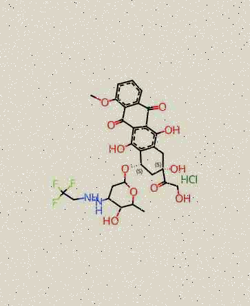 COc1cccc2c1C(=O)c1c(O)c3c(c(O)c1C2=O)C[C@@](O)(C(=O)CO)C[C@@H]3OC1CC(NNCC(F)(F)F)C(O)C(C)O1.Cl